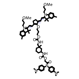 COCCCN1/C(=C/C=C2\CCC(/C=C/C3=[N+](CCCOC)c4ccc(C)cc4C3(C)C)=C2OCCCOC(=O)NCC2(C)CCCC(NC(=O)OCC(=O)N(c3ccc(N(C)C)cc3)c3ccc(N(C)C)cc3)C2)C(C)(C)c2cc(C)ccc21